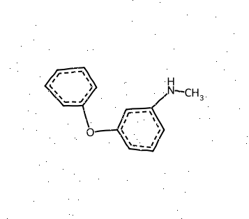 CNc1cccc(Oc2ccccc2)c1